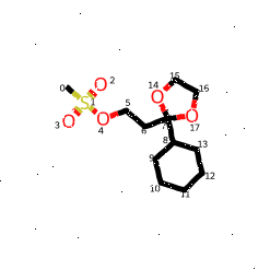 CS(=O)(=O)OCCC1(C2CCCCC2)OCCO1